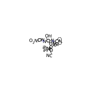 COc1cc(/N=N/c2ccc([N+](=O)[O-])cc2)c(CO)cc1/N=N/c1cc2c3c(c1OCCOP(OCCC#N)N(C(C)C)C(C)C)CCCN3CCC2